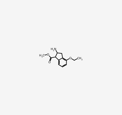 CCOc1cccc2c1CC(N)C2C(=O)OC